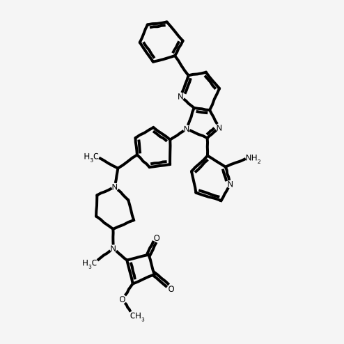 COc1c(N(C)C2CCN(C(C)c3ccc(-n4c(-c5cccnc5N)nc5ccc(-c6ccccc6)nc54)cc3)CC2)c(=O)c1=O